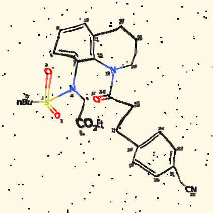 CCCCS(=O)(=O)N(CC(=O)OCC)c1cccc2c1N(C(=O)CCc1ccc(C#N)cc1)CCC2